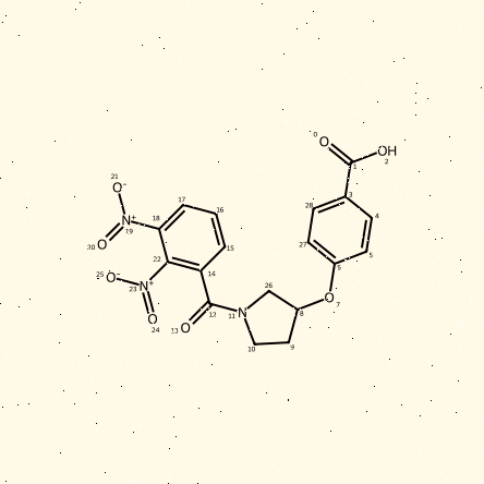 O=C(O)c1ccc(OC2CCN(C(=O)c3cccc([N+](=O)[O-])c3[N+](=O)[O-])C2)cc1